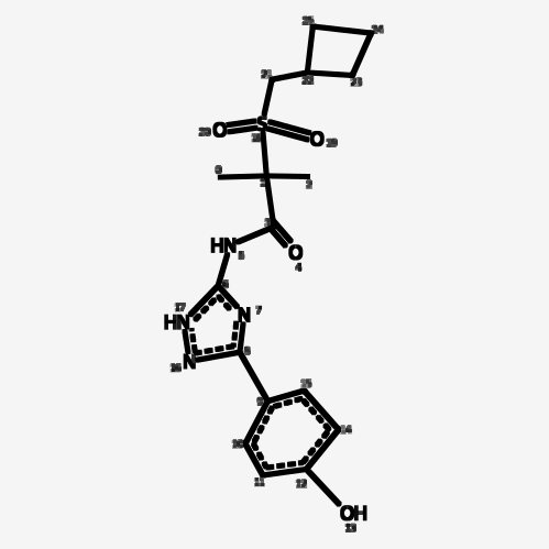 CC(C)(C(=O)Nc1nc(-c2ccc(O)cc2)n[nH]1)S(=O)(=O)CC1CCC1